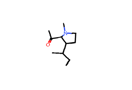 CCC(C)C1CCN(C)C1C(C)=O